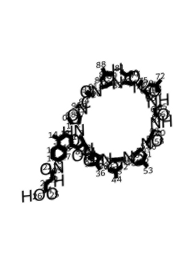 CC[C@@H]1NC(=O)C([C@H](O)[C@H](C)C/C=C(/C)c2ccc(NC(=O)CCC(=O)O)cc2)N(C)C(=O)C(C(C)C)N(C)C(=O)[C@H](CC(C)C)N(C)C(=O)[C@H](CC(C)C)N(C)C(=O)[C@H](C)NC(=O)[C@H](C)NC(=O)[C@H](CC(C)C)N(C)C(=O)[C@H](C(C)C)NC(=O)[C@H](CC(C)C)N(C)C(=O)CN(C)C1=O